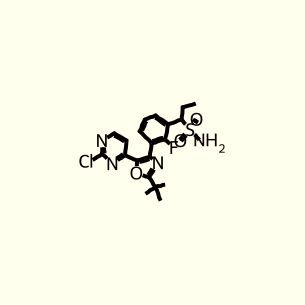 CCC(c1cccc(-c2nc(C(C)(C)C)oc2-c2ccnc(Cl)n2)c1F)S(N)(=O)=O